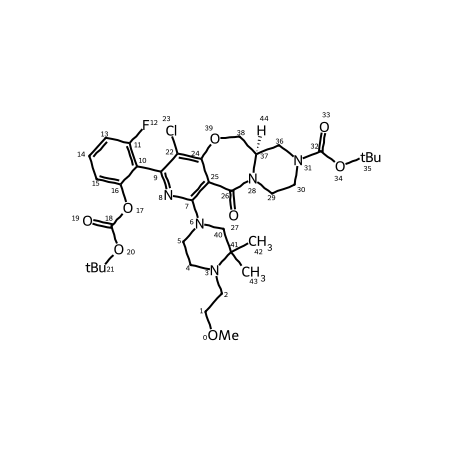 COCCN1CCN(c2nc(-c3c(F)cccc3OC(=O)OC(C)(C)C)c(Cl)c3c2C(=O)N2CCN(C(=O)OC(C)(C)C)C[C@@H]2CO3)CC1(C)C